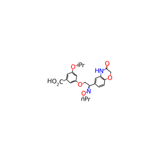 CCCON=C(COc1cc(OC(C)C)cc(C(=O)O)c1)c1ccc2c(c1)NC(=O)CO2